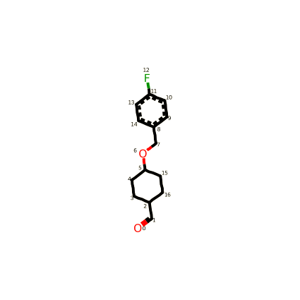 O=CC1CCC(OCc2ccc(F)cc2)CC1